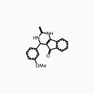 C=C1NC2=C(C(=O)c3ccccc32)C(c2cccc(OC)c2)N1